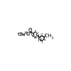 Cc1ccnc(N2CCN(C(=O)OCC(C)(C)C)CC2)c1